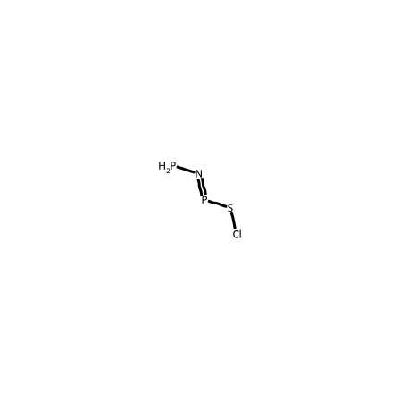 PN=PSCl